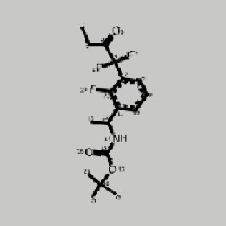 CCC(=O)C(F)(F)c1cccc(C(C)NC(=O)OC(C)(C)C)c1F